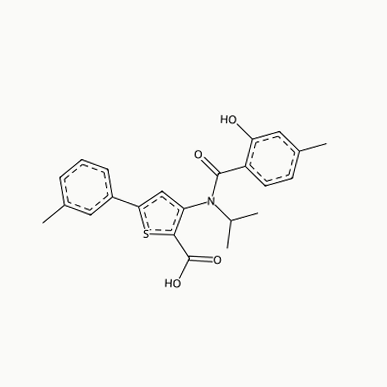 Cc1cccc(-c2cc(N(C(=O)c3ccc(C)cc3O)C(C)C)c(C(=O)O)s2)c1